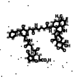 CC[C@@]1(O)C(=O)OCc2c1cc1n(c2=O)CC2=C1NC1C=C(F)C(C)=C3CC[C@H](NC(=O)CCCNC(=O)CNC(=O)[C@H](Cc4ccccc4)NC(=O)CNC(=O)CNC(=O)[C@H](CCC(=O)O)N4C(=O)C=CC4=O)C2=C31